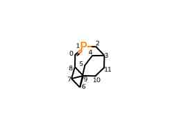 C1=P\CC2CCC3C4C/1C34CC2